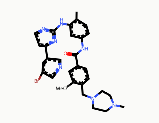 COc1cc(C(=O)Nc2ccc(C)c(Nc3nccc(-c4cncc(Br)c4)n3)c2)ccc1CN1CCN(C)CC1